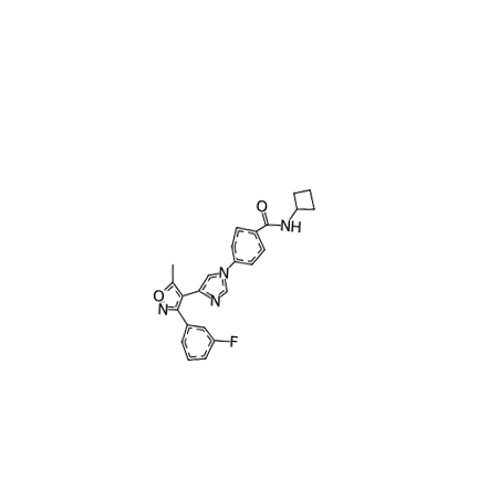 Cc1onc(-c2cccc(F)c2)c1-c1cn(-c2ccc(C(=O)NC3CCC3)cc2)cn1